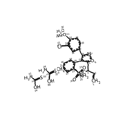 C.C=CC(C)c1onc(-c2ccc(OC)c(Cl)c2)c1-c1ccccc1S(N)(=O)=O.NC(O)=S.NC(O)=S.O